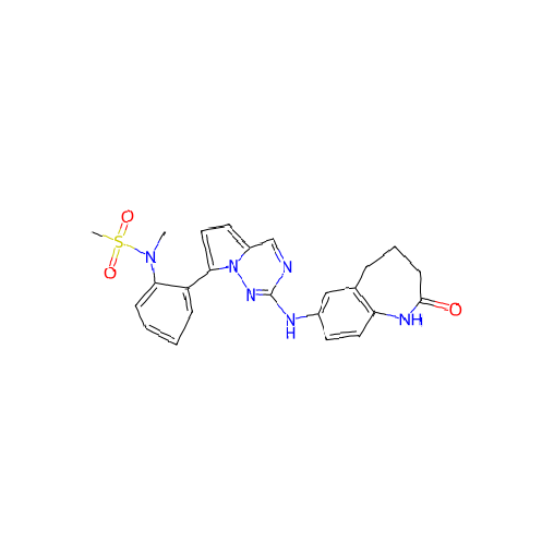 CN(c1ccccc1-c1ccc2cnc(Nc3ccc4c(c3)CCCC(=O)N4)nn12)S(C)(=O)=O